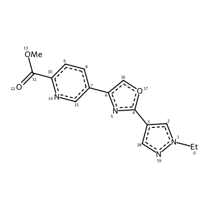 CCn1cc(-c2nc(-c3ccc(C(=O)OC)nc3)co2)cn1